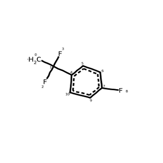 [CH2]C(F)(F)c1ccc(F)cc1